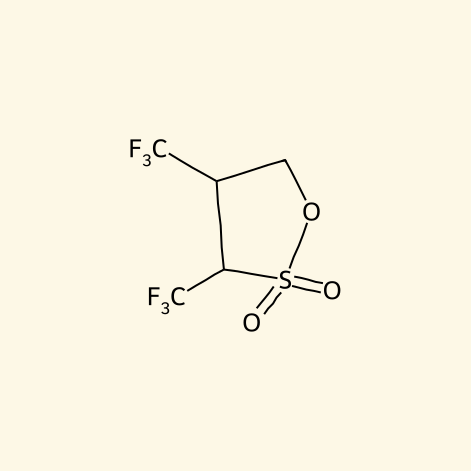 O=S1(=O)OCC(C(F)(F)F)C1C(F)(F)F